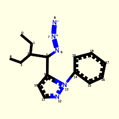 CCC(CC)C(N=[N+]=[N-])c1ccnn1-c1ccccc1